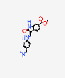 COC(=O)c1ccc2c(c1)NC(=O)/C2=C\Nc1ccc(CN(C)C)cc1